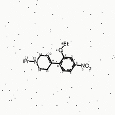 CCOc1cc([N+](=O)[O-])ccc1C1=CCN(C(C)C)CC1